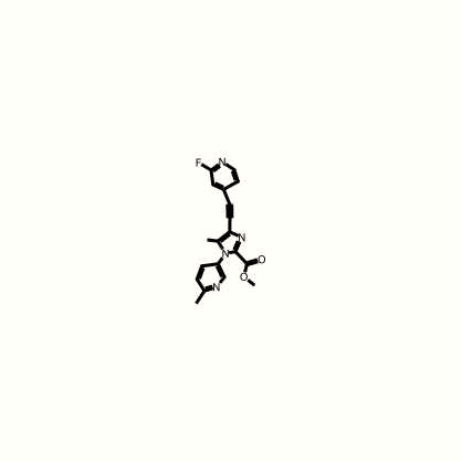 COC(=O)c1nc(C#Cc2ccnc(F)c2)c(C)n1-c1ccc(C)nc1